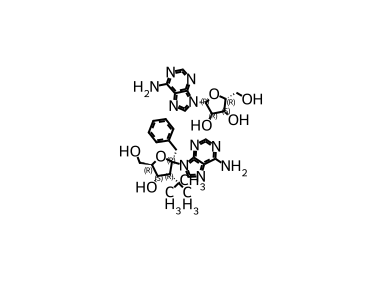 CC(C)(C)[C@@H]1[C@H](O)[C@@H](CO)O[C@@]1(Cc1ccccc1)n1cnc2c(N)ncnc21.Nc1ncnc2c1ncn2[C@@H]1O[C@H](CO)[C@@H](O)[C@H]1O